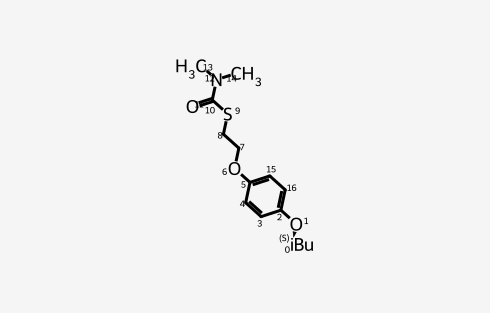 CC[C@H](C)Oc1ccc(OCCSC(=O)N(C)C)cc1